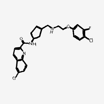 O=C(NC1CCC(CNCCOc2ccc(Cl)c(F)c2)C1)c1ccc2cc(Cl)ccc2n1